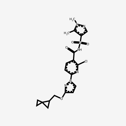 Cc1c(S(=O)(=O)NC(=O)c2ccc(-n3ccc(OCC4CC45CC5)n3)nc2Cl)cnn1C